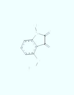 COc1cccc2c1C(=O)C(=O)N2C